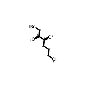 CC(C)(C)CC(=O)C(=O)CCCO